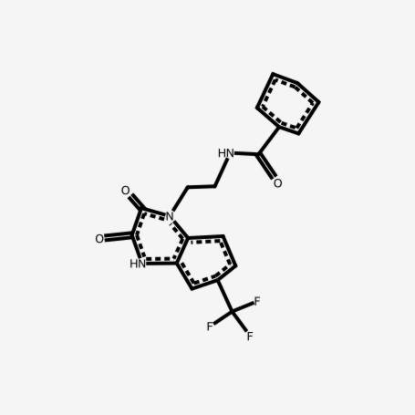 O=C(NCCn1c(=O)c(=O)[nH]c2cc(C(F)(F)F)ccc21)c1ccccc1